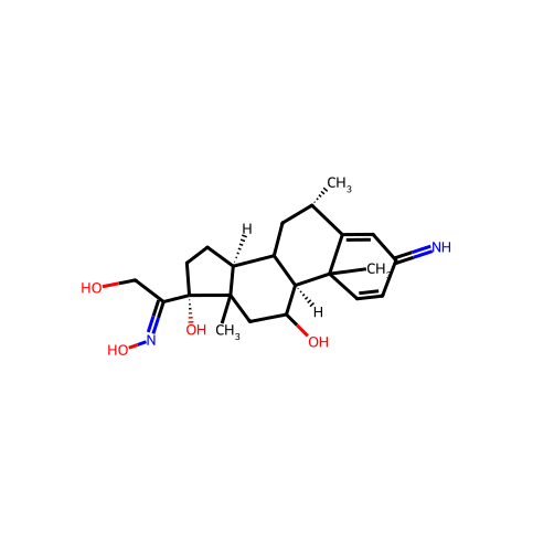 C[C@H]1CC2[C@H](C(O)CC3(C)[C@H]2CC[C@]3(O)/C(CO)=N/O)C2(C)C=CC(=N)C=C12